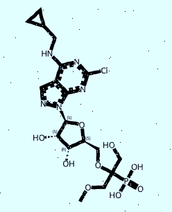 COCC(CO)(OC[C@@H]1O[C@H](n2ncc3c(NCC4CC4)nc(Cl)nc32)[C@@H](O)[C@H]1O)P(=O)(O)O